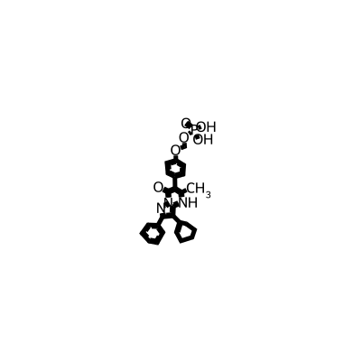 Cc1[nH]c2c(C3=CCCCC3)c(-c3ccccc3)nn2c(=O)c1-c1ccc(OCOP(=O)(O)O)cc1